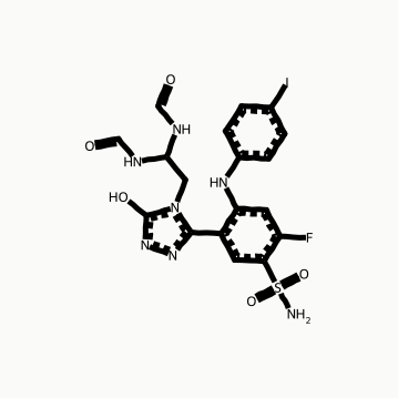 NS(=O)(=O)c1cc(-c2nnc(O)n2CC(NC=O)NC=O)c(Nc2ccc(I)cc2)cc1F